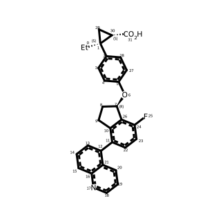 CC[C@]1(c2ccc(O[C@@H]3CCc4c(-c5cccc6ncccc56)ccc(F)c43)cc2)C[C@@H]1C(=O)O